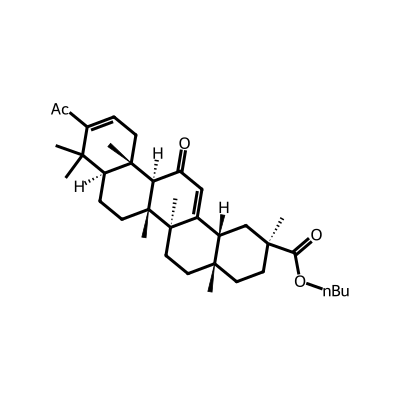 CCCCOC(=O)[C@@]1(C)CC[C@]2(C)CC[C@]3(C)C(=CC(=O)[C@@H]4[C@@]5(C)CC=C(C(C)=O)C(C)(C)[C@@H]5CC[C@]43C)[C@@H]2C1